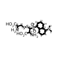 CN(C)c1cccc2c(S(=O)(=O)C(SSCC(N)C(=O)O)C(N)C(=O)O)cccc12